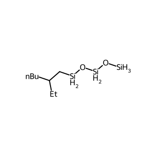 CCCCC(CC)C[SiH2]O[SiH2]O[SiH3]